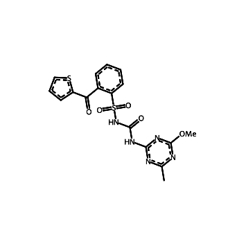 COc1nc(C)nc(NC(=O)NS(=O)(=O)c2ccccc2C(=O)c2cccs2)n1